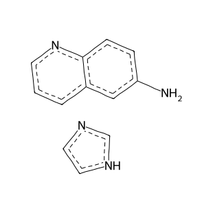 Nc1ccc2ncccc2c1.c1c[nH]cn1